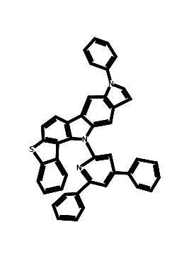 c1ccc(-c2cc(-c3ccccc3)nc(-n3c4cc5ccn(-c6ccccc6)c5cc4c4ccc5sc6ccccc6c5c43)c2)cc1